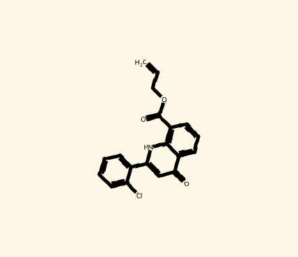 C=CCOC(=O)c1cccc2c(=O)cc(-c3ccccc3Cl)[nH]c12